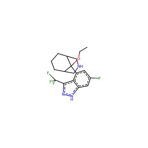 CCOC1(c2cc(F)cc3[nH]nc(C(F)(F)F)c23)C2CCCC1CNC2